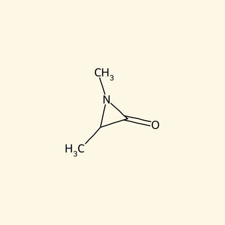 CC1C(=O)N1C